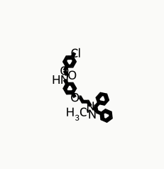 Cc1nc(-c2ccccc2)c(-c2ccccc2)n1CCCOc1ccc(NC(=O)Oc2ccc(Cl)cc2)cc1